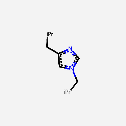 CC(C)Cc1cn(CC(C)C)cn1